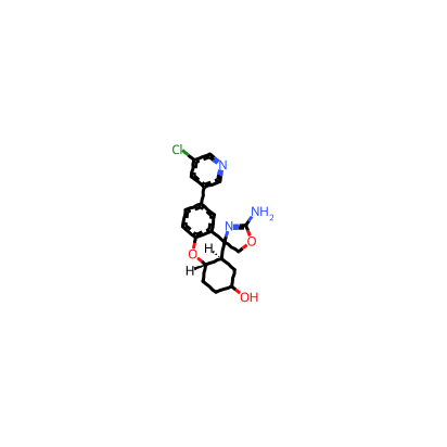 NC1=NC2(CO1)c1cc(-c3cncc(Cl)c3)ccc1O[C@H]1CCC(O)C[C@@H]12